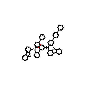 c1ccc(-c2ccc(-c3ccc(N(c4cccc(-c5ccccc5N(c5ccc(-c6ccccc6)cc5)c5cccc6c5sc5ccccc56)c4)c4cccc5c4sc4ccccc45)cc3)cc2)cc1